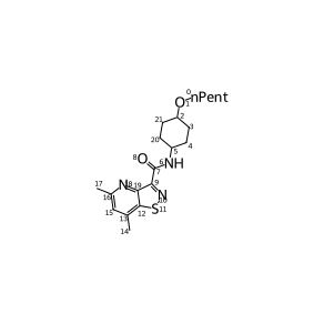 CCCCCOC1CCC(NC(=O)c2nsc3c(C)cc(C)nc23)CC1